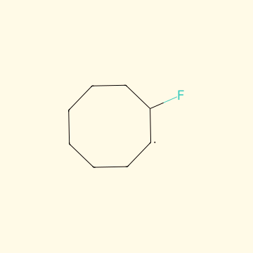 FC1[CH]CCCCCC1